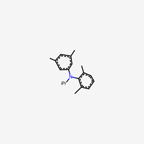 Cc1cc(C)cc(N(c2c(C)cccc2C)C(C)C)c1